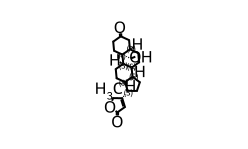 C[C@]12CC[C@H]3[C@@H](CC[C@@H]4CC(=O)CC[C@@]43CO)[C@@H]1CC[C@@H]2C1=CC(=O)OC1